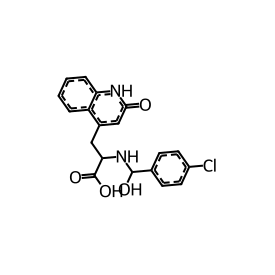 O=C(O)C(Cc1cc(=O)[nH]c2ccccc12)NC(O)c1ccc(Cl)cc1